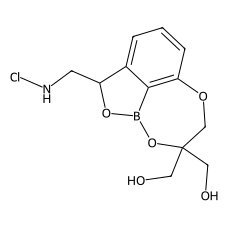 OCC1(CO)COc2cccc3c2B(OC3CNCl)O1